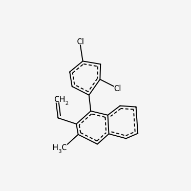 C=Cc1c(C)cc2ccccc2c1-c1ccc(Cl)cc1Cl